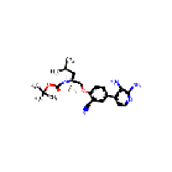 CC(C)C[C@@](C)(COc1ccc(-c2ccnc(N)c2N)cc1C#N)NC(=O)OC(C)(C)C